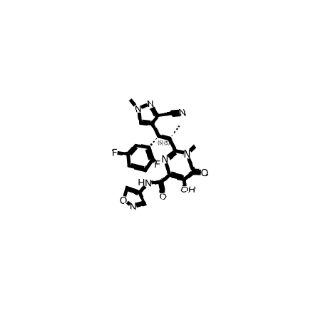 C[C@H](c1nc(C(=O)Nc2cnoc2)c(O)c(=O)n1C)[C@H](c1cc(F)ccc1F)c1cn(C)nc1C#N